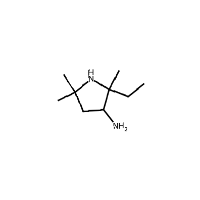 CCC1(C)NC(C)(C)CC1N